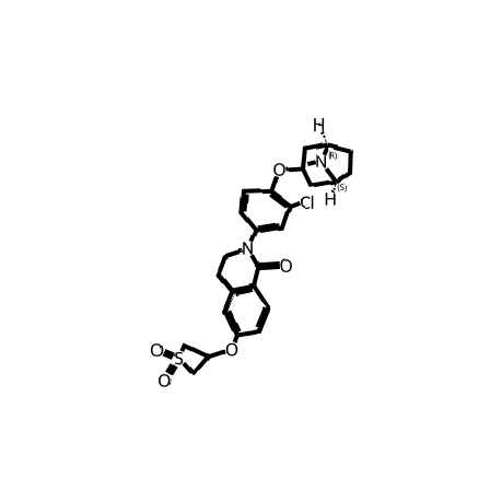 CN1[C@@H]2CC[C@H]1CC(Oc1ccc(N3CCc4cc(OC5CS(=O)(=O)C5)ccc4C3=O)cc1Cl)C2